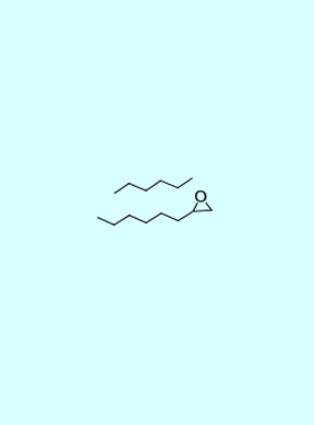 CCCCCC.CCCCCCC1CO1